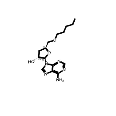 CCCCCOC[C@@H]1C[C@@H](O)[C@H](n2cnc3c(N)ncnc32)O1